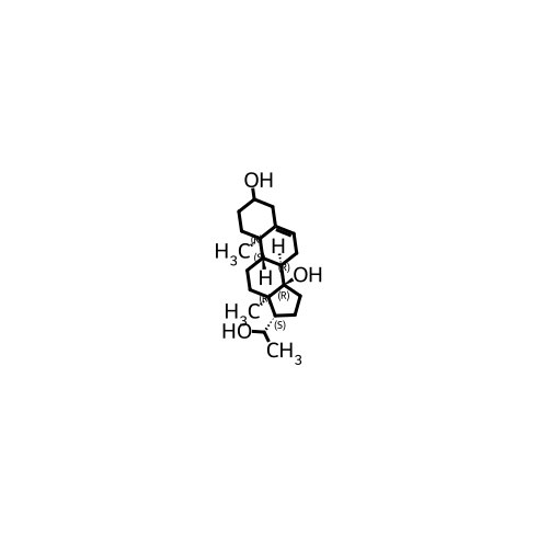 CC(O)[C@H]1CC[C@@]2(O)[C@@H]3CC=C4CC(O)CC[C@]4(C)[C@H]3CC[C@]12C